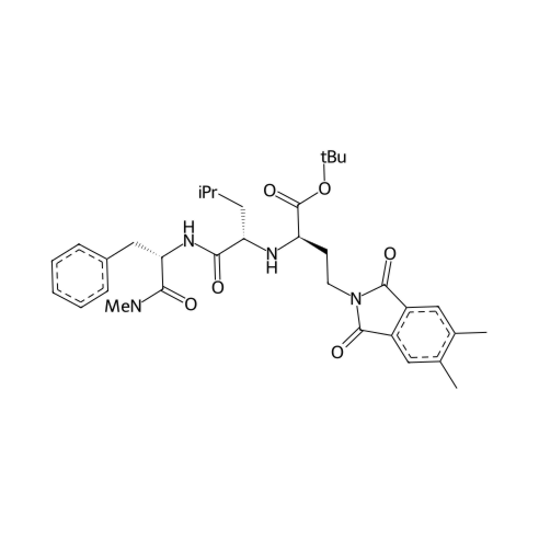 CNC(=O)[C@H](Cc1ccccc1)NC(=O)[C@H](CC(C)C)N[C@H](CCN1C(=O)c2cc(C)c(C)cc2C1=O)C(=O)OC(C)(C)C